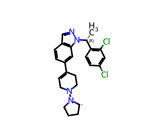 C[C@H](c1ccc(Cl)cc1Cl)n1ncc2ccc(C3=CCN(N4[CH]CCC4)CC3)cc21